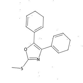 CSc1nc(C2=CCCC=C2)c(C2=CCCC=C2)o1